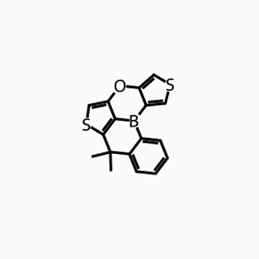 CC1(C)c2ccccc2B2c3cscc3Oc3csc1c32